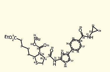 CCOC(=O)CCCCC1SC[C@@H](C(=O)Nc2nc(-c3ccc(C(=O)NC4CC4)cc3)cs2)N1C(=O)OC(C)(C)C